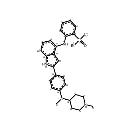 CCP(=O)(CC)c1ccccc1Nc1ccnc2[nH]c(-c3ccc(N(C)C4CCN(C)CC4)cc3)cc12